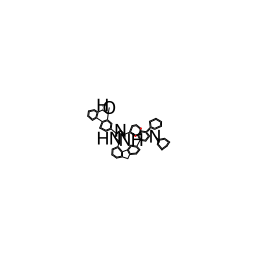 c1ccc(C2N=C(c3ccc4c(c3)C3O[C@@H]3c3ccccc3-4)NC(c3cccc4c3-c3cc(-c5ccc6c7ccccc7n(-c7ccccc7)c6c5)ccc3C4)N2)cc1